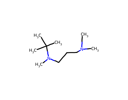 CN(C)CCCN(C)C(C)(C)C